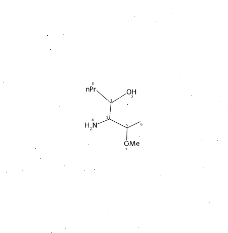 CCCC(O)C(N)C(C)OC